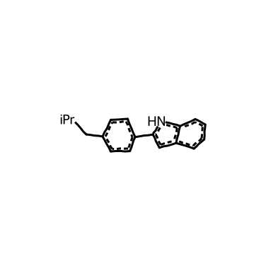 CC(C)Cc1ccc(-c2cc3ccccc3[nH]2)cc1